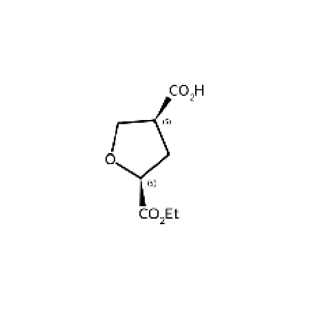 CCOC(=O)[C@@H]1C[C@H](C(=O)O)CO1